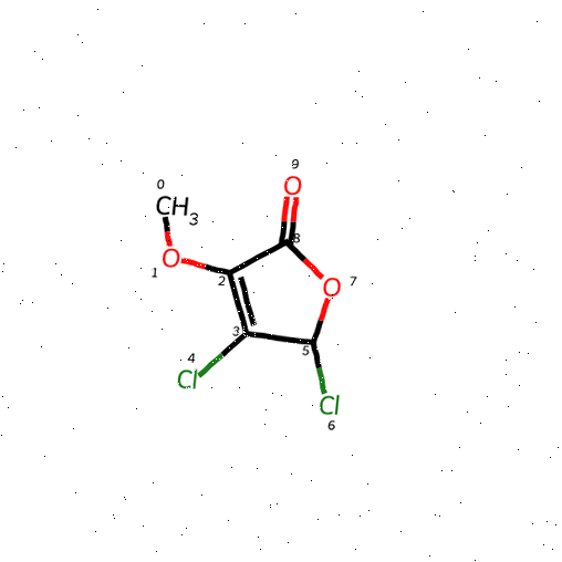 COC1=C(Cl)C(Cl)OC1=O